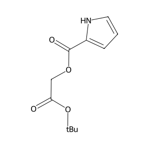 CC(C)(C)OC(=O)COC(=O)c1ccc[nH]1